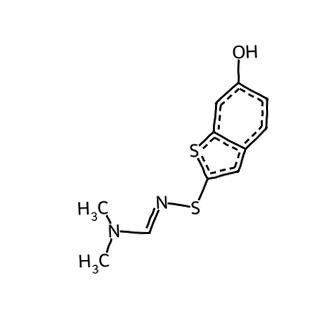 CN(C)C=NSc1cc2ccc(O)cc2s1